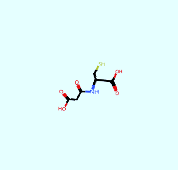 O=C(O)CC(=O)NC(CS)C(=O)O